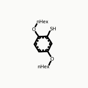 CCCCCCOc1ccc(OCCCCCC)c(S)c1